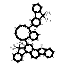 CC1(C)c2ccccc2-c2cc(-c3ccccccc(-c4cc5c(ccc6c7ccccc7sc56)c5c4C(C)(C)c4ccccc4-5)c4ccccc34)ccc21